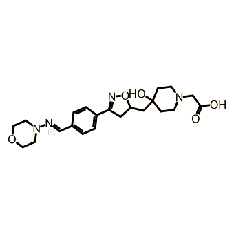 O=C(O)CN1CCC(O)(CC2CC(c3ccc(/C=N/N4CCOCC4)cc3)=NO2)CC1